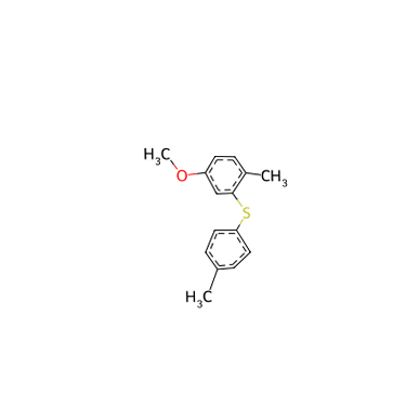 COc1ccc(C)c(Sc2ccc(C)cc2)c1